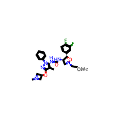 COCCN1C[C@@H](NC(=O)Nc2c(C)c(OC3CN(C)C3)nn2-c2ccccc2)[C@H](c2ccc(F)c(F)c2)O1